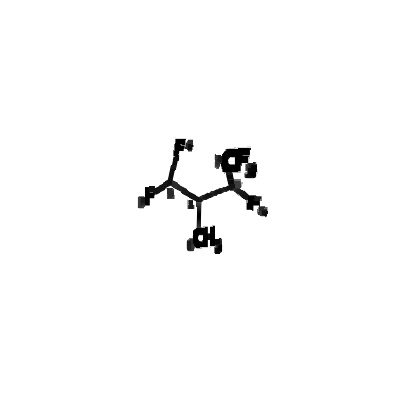 CC(C(F)F)C(F)C(F)(F)F